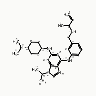 C=CC(O)NCc1cccc(Nc2nc(N[C@H]3CC[C@H](N(C)C)CC3)nc3c2ncn3C(C)C)c1